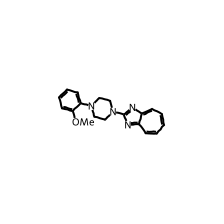 COc1ccccc1N1CCN(c2nc3cccccc-3n2)CC1